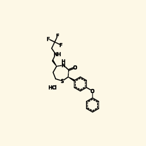 Cl.O=C1N[C@H](CNCC(F)(F)F)CCS[C@@H]1c1ccc(Oc2ccccc2)cc1